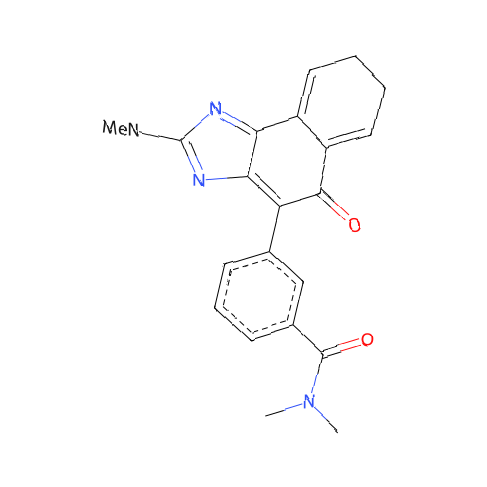 CNC1=NC2=C(c3cccc(C(=O)N(C)C)c3)C(=O)C3=CCCC=C3C2=N1